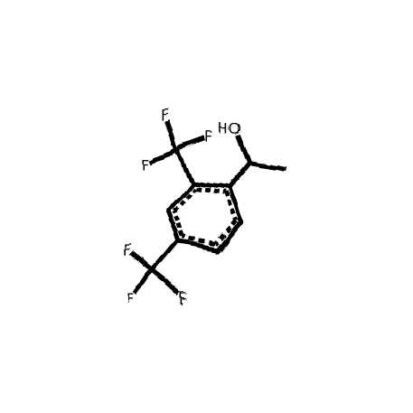 CC(O)c1ccc(C(F)(F)F)cc1C(F)(F)F